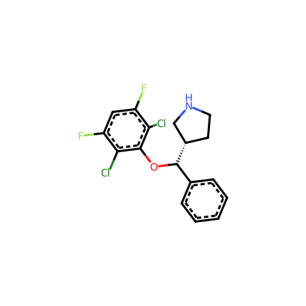 Fc1cc(F)c(Cl)c(OC(c2ccccc2)[C@H]2CCNC2)c1Cl